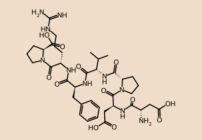 CC(C)[C@H](NC(=O)[C@@H]1CCCN1C(=O)[C@H](CC(=O)O)NC(=O)[C@@H](N)CC(=O)O)C(=O)N[C@@H](Cc1ccccc1)C(=O)N[C@@H](CCCNC(=N)N)C(=O)N1CCC[C@H]1C(=O)O